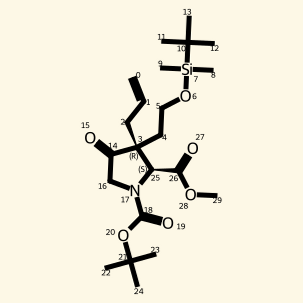 C=CC[C@]1(CCO[Si](C)(C)C(C)(C)C)C(=O)CN(C(=O)OC(C)(C)C)[C@@H]1C(=O)OC